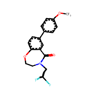 O=C1c2cc(-c3ccc(OC(F)(F)F)cc3)ccc2OCCN1CC(F)F